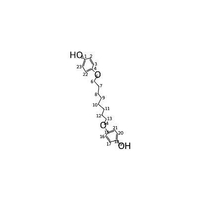 Oc1ccc(OCCCCCCCCOc2ccc(O)cc2)cc1